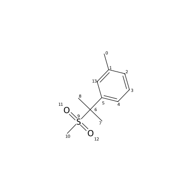 Cc1cccc(C(C)(C)S(C)(=O)=O)c1